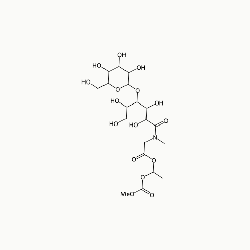 COC(=O)OC(C)OC(=O)CN(C)C(=O)C(O)C(O)C(OC1OC(CO)C(O)C(O)C1O)C(O)CO